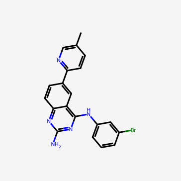 Cc1ccc(-c2ccc3nc(N)nc(Nc4cccc(Br)c4)c3c2)nc1